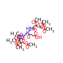 CC(=O)OCC[C@@H](OC(C)=O)[C@H](OC(C)=O)[C@@H](OC(C)=O)C(=O)NCCN(CCNC(=O)C[C@H](C[C@@H](COC(C)=O)OC(C)=O)OC(C)=O)C(=O)CCC(=O)O